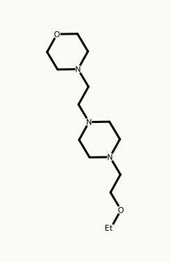 CCOCCN1CCN(CCN2CCOCC2)CC1